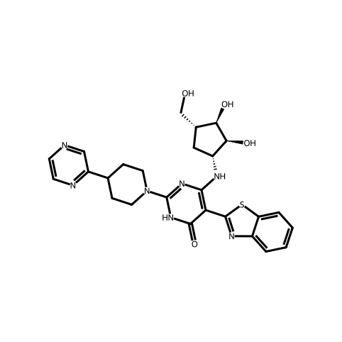 O=c1[nH]c(N2CCC(c3cnccn3)CC2)nc(N[C@@H]2C[C@H](CO)[C@@H](O)[C@H]2O)c1-c1nc2ccccc2s1